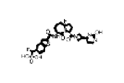 O=C(N[C@H]1CCC[C@H]2CC[C@@H](C(=O)N3CC(c4ccnc(O)n4)C3)N2C1=O)c1cc2cc(C(F)P(=O)(O)O)ccc2s1